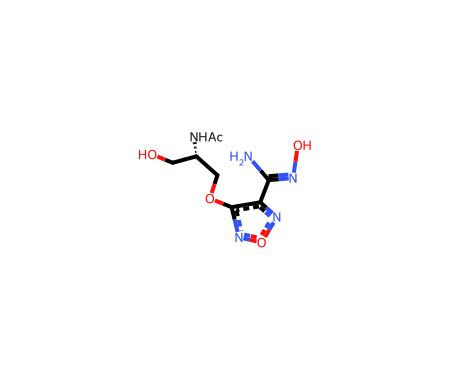 CC(=O)N[C@@H](CO)COc1nonc1/C(N)=N/O